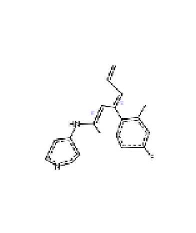 C=C/C=C(\C=C(/C)Nc1ccncc1)c1ccc(F)cc1C